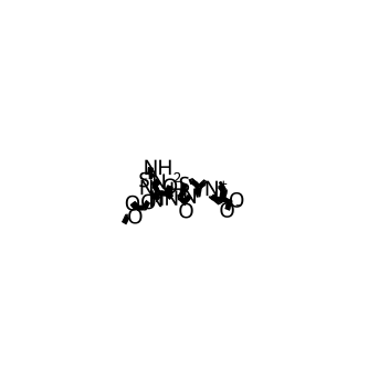 CCOC(=O)CON=C(C(=O)NC1C(=O)N2C=C(C[n+]3ccc(C(=O)[O-])cc3)CS[C@@H]12)c1nsc(N)n1